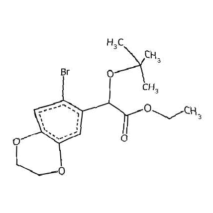 CCOC(=O)C(OC(C)(C)C)c1cc2c(cc1Br)OCCO2